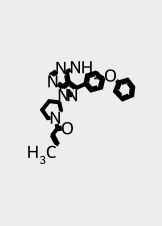 CC=CC(=O)N1CCCC(n2nc(-c3ccc(Oc4ccccc4)cc3)c3c(N)ncnc32)C1